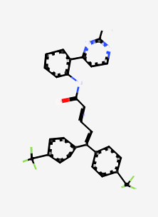 Cc1nccc(-c2ccccc2NC(=O)/C=C/C=C(c2ccc(C(F)(F)F)cc2)c2ccc(C(F)(F)F)cc2)n1